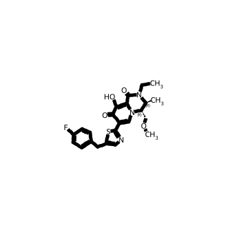 CCN1C(=O)c2c(O)c(=O)c(-c3ncc(Cc4ccc(F)cc4)s3)cn2[C@@H](COC)[C@H]1C